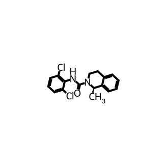 C[C@@H]1c2ccccc2CCN1C(=O)Nc1c(Cl)cccc1Cl